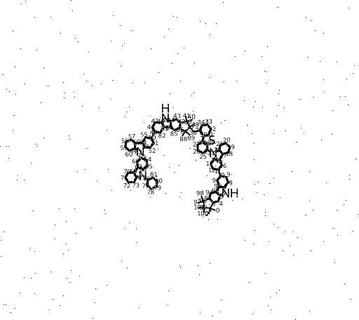 CC1(C)c2cc3[nH]c4ccc(-c5ccc6c(c5)c5ccccc5n6-c5cccc6c5sc5cccc(CC7(C)C(C)(C)c8cc9[nH]c%10ccc(-c%11ccc%12c(c%11)c%11ccccc%11n%12-c%11ccc%12c(c%11)c%11ccccc%11n%12-c%11ccccc%11)cc%10c9cc8C7(C)C)c56)cc4c3cc2C(C)(C)C1(C)C